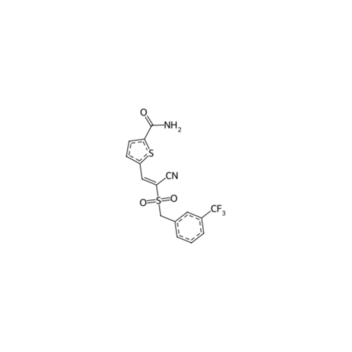 N#C/C(=C\c1ccc(C(N)=O)s1)S(=O)(=O)Cc1cccc(C(F)(F)F)c1